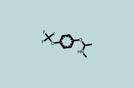 CNC(C)Oc1ccc(OC(F)(F)I)cc1